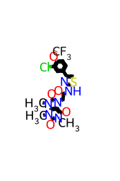 Cn1c(=O)c2c(n(C)c1=O)n(C)c(=O)n2CC(=O)Nc1nc(-c2ccc(OC(F)(F)F)c(Cl)c2)cs1